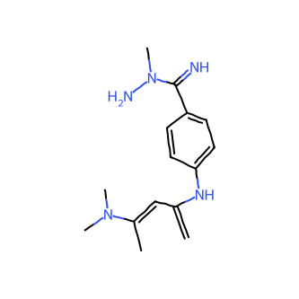 C=C(/C=C(\C)N(C)C)Nc1ccc(C(=N)N(C)N)cc1